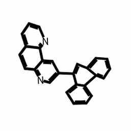 c1ccc2c(c1)cc(-c1cnc3ccc4cccnc4c3c1)c1ccccc12